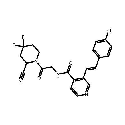 N#CC1CC(F)(F)CCN1C(=O)CNC(=O)c1ccncc1C=Cc1ccc(Cl)cc1